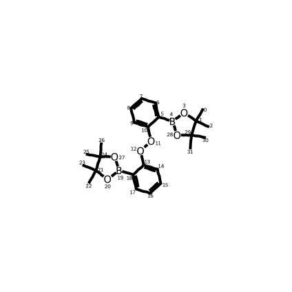 CC1(C)OB(c2ccccc2OOc2ccccc2B2OC(C)(C)C(C)(C)O2)OC1(C)C